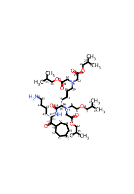 CC(C)COCCN(CC(=O)OCC(C)C)[C@@H](CCCCN(CC(=O)OCC(C)C)CC(=O)OCC(C)C)C(=O)N[C@@H](CCCCN)C(=O)C1CCCCCC1